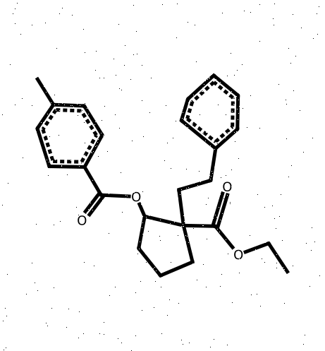 CCOC(=O)C1(CCc2ccccc2)CCCC1OC(=O)c1ccc(C)cc1